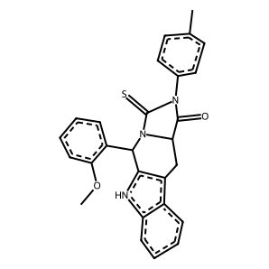 COc1ccccc1C1c2[nH]c3ccccc3c2CC2C(=O)N(c3ccc(C)cc3)C(=S)N21